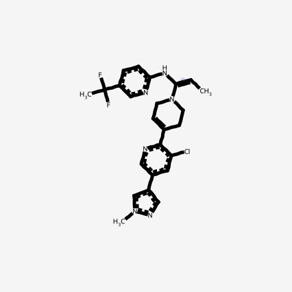 C/C=C(/Nc1ccc(C(C)(F)F)cn1)N1CC=C(c2ncc(-c3cnn(C)c3)cc2Cl)CC1